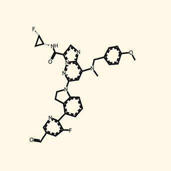 COc1ccc(CN(C)c2cc(N3CCc4c(-c5ncc(C=O)cc5F)cccc43)nn3c(C(=O)N[C@@H]4C[C@@H]4F)cnc23)cc1